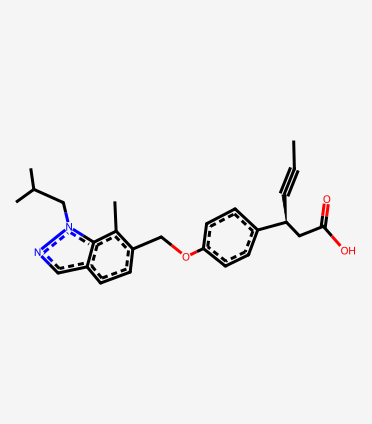 CC#C[C@@H](CC(=O)O)c1ccc(OCc2ccc3cnn(CC(C)C)c3c2C)cc1